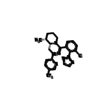 C[C@@H]1CCCN(C(=O)c2cccc(Cl)c2-n2nccn2)[C@@H]1CNc1ccc(C(F)(F)F)cn1